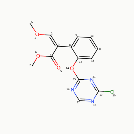 COC=C(C(=O)OC)c1ccccc1Oc1ncnc(Cl)n1